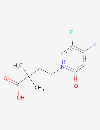 CC(C)(CCn1cc(F)c(I)cc1=O)C(=O)O